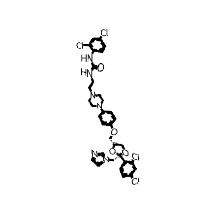 O=C(NCCN1CCN(c2ccc(OC[C@@H]3CO[C@@](Cn4ccnc4)(c4ccc(Cl)cc4Cl)O3)cc2)CC1)Nc1ccc(Cl)cc1Cl